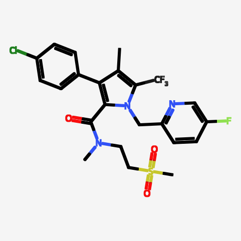 Cc1c(-c2ccc(Cl)cc2)c(C(=O)N(C)CCS(C)(=O)=O)n(Cc2ccc(F)cn2)c1C(F)(F)F